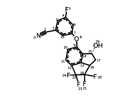 N#Cc1cc(F)cc(Oc2ccc3c4c2[C@H](O)CC4C(F)(F)C3(F)F)c1